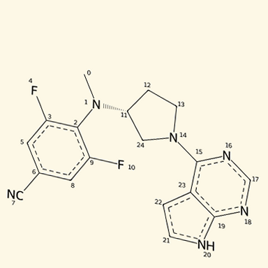 CN(c1c(F)cc(C#N)cc1F)[C@@H]1CCN(c2ncnc3[nH]ccc23)C1